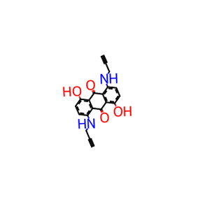 C#CCNc1ccc(O)c2c1C(=O)c1c(O)ccc(NCC#C)c1C2=O